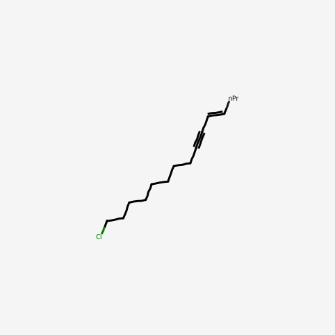 CCCC=CC#CCCCCCCCCCl